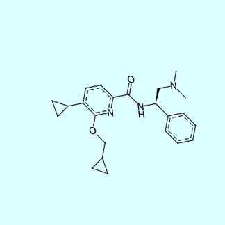 CN(C)C[C@H](NC(=O)c1ccc(C2CC2)c(OCC2CC2)n1)c1ccccc1